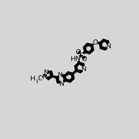 Cn1cc(-c2cnc3ccc(-c4cncc(NS(=O)(=O)c5ccc(Oc6ccncc6)cc5)c4)cc3n2)cn1